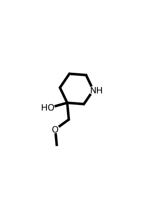 COCC1(O)CCCNC1